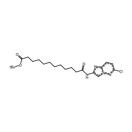 CC(C)(C)OC(=O)CCCCCCCCCCC(=O)Nc1cn2nc(Cl)ccc2n1